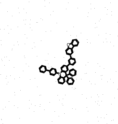 c1ccc(-c2ccc(N3c4ccccc4C(c4ccccc4)(c4ccccc4)c4cc(-c5cccc(-c6ccc7oc8ccccc8c7c6)c5)ccc43)cc2)cc1